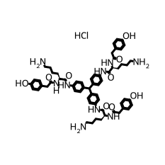 Cl.NCCCC[C@H](NC(=O)Cc1ccc(O)cc1)C(=O)Nc1ccc(C(c2ccc(NC(=O)[C@H](CCCCN)NC(=O)Cc3ccc(O)cc3)cc2)c2ccc(NC(=O)[C@H](CCCCN)NC(=O)Cc3ccc(O)cc3)cc2)cc1